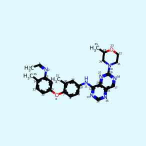 C/C=N\c1cc(Oc2ccc(Nc3ncnc4cnc(N5CCOC(C)C5)nc34)cc2C)ccc1C